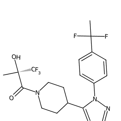 CC(F)(F)c1ccc(-n2nccc2C2CCN(C(=O)[C@@](C)(O)C(F)(F)F)CC2)cc1